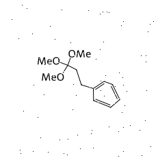 COC(CCc1ccccc1)(OC)OC